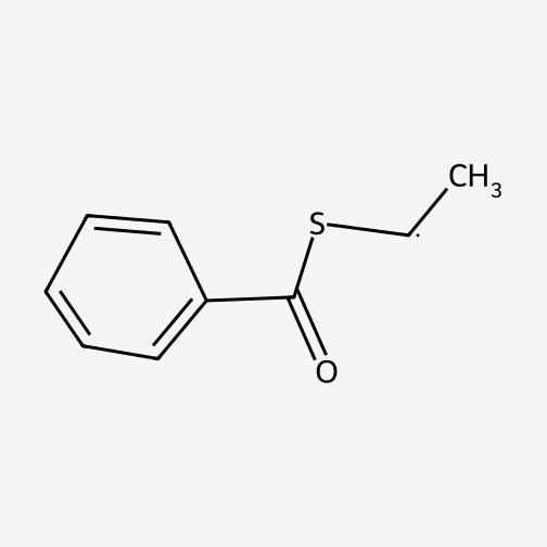 C[CH]SC(=O)c1ccccc1